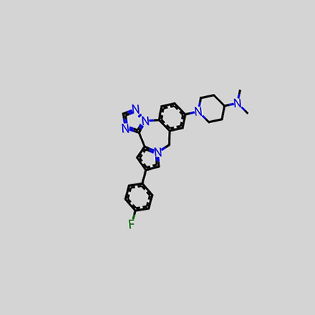 CN(C)C1CCN(c2ccc3c(c2)Cn2cc(-c4ccc(F)cc4)cc2-c2ncnn2-3)CC1